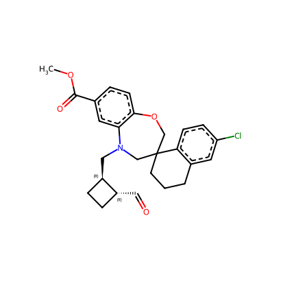 COC(=O)c1ccc2c(c1)N(C[C@@H]1CC[C@H]1C=O)CC1(CCCc3cc(Cl)ccc31)CO2